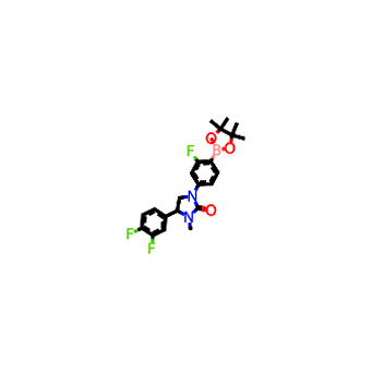 CN1C(=O)N(c2ccc(B3OC(C)(C)C(C)(C)O3)c(F)c2)CC1c1ccc(F)c(F)c1